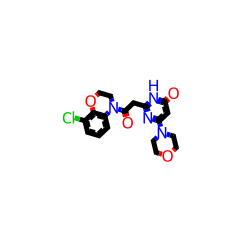 O=C(Cc1nc(N2CCOCC2)cc(=O)[nH]1)N1CCOc2c(Cl)cccc21